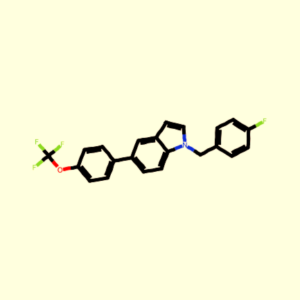 Fc1ccc(Cn2c[c]c3cc(-c4ccc(OC(F)(F)F)cc4)ccc32)cc1